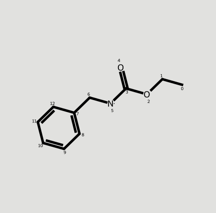 CCOC(=O)[N]Cc1ccccc1